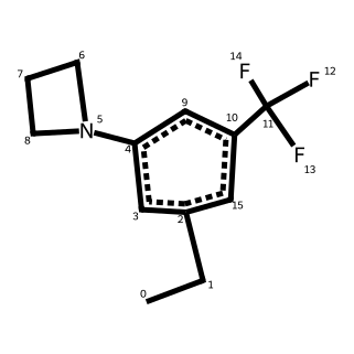 CCc1cc(N2CCC2)cc(C(F)(F)F)c1